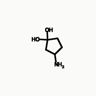 NC1CCC(O)(O)C1